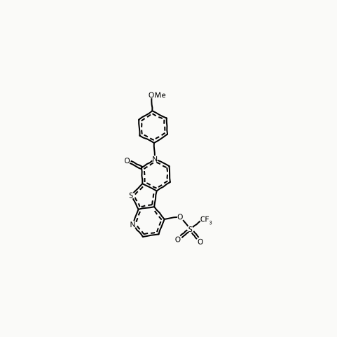 COc1ccc(-n2ccc3c(sc4nccc(OS(=O)(=O)C(F)(F)F)c43)c2=O)cc1